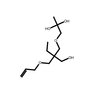 C=CCOCC(CC)(CO)COCC(C)(O)O